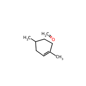 C=O.CC1=CCC(C)CC1